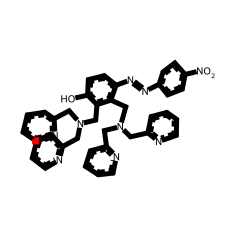 O=[N+]([O-])c1ccc(/N=N/c2ccc(O)c(CN(Cc3ccccn3)Cc3ccccn3)c2CN(Cc2ccccn2)Cc2ccccn2)cc1